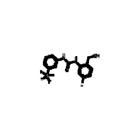 C[SH](F)(F)(F)c1cccc(NC(=O)Nc2cc(Cl)ccc2CO)c1